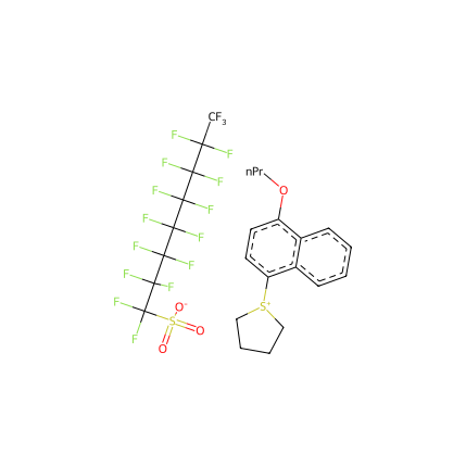 CCCOc1ccc([S+]2CCCC2)c2ccccc12.O=S(=O)([O-])C(F)(F)C(F)(F)C(F)(F)C(F)(F)C(F)(F)C(F)(F)C(F)(F)C(F)(F)F